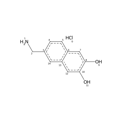 Cl.NCc1ccc2cc(O)c(O)cc2c1